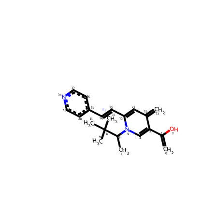 C=C(O)C1=CN(C(C)C(C)(C)C)C(/C=C/c2ccncc2)=CC1=C